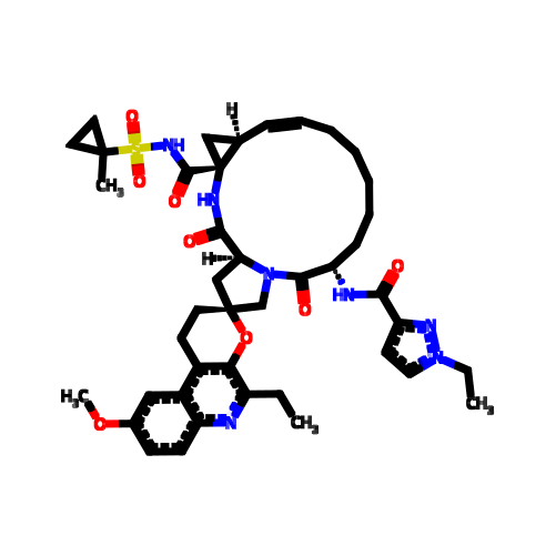 CCc1nc2ccc(OC)cc2c2c1O[C@]1(CC2)C[C@H]2C(=O)N[C@]3(C(=O)NS(=O)(=O)C4(C)CC4)C[C@H]3C=CCCCCC[C@H](NC(=O)c3ccn(CC)n3)C(=O)N2C1